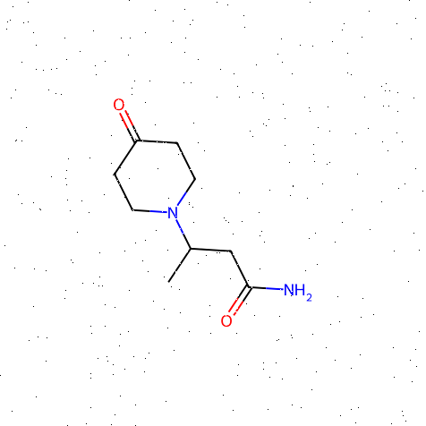 CC(CC(N)=O)N1CCC(=O)CC1